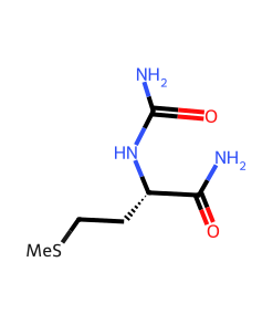 CSCC[C@H](NC(N)=O)C(N)=O